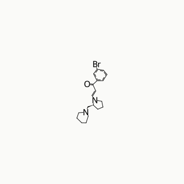 O=C(/C=C/N1CCC[C@H]1CN1CCCCC1)c1cccc(Br)c1